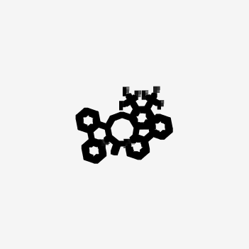 C=C1C2C(CCc3c(ccc(C(F)(F)F)c3C(F)(F)F)-c3c(-c4ccccc4)ccc[n+]31)c1ccccc1-c1cccc[n+]12